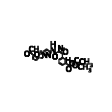 CC(=O)c1ccc(Cn2ccc(NC(=O)c3ncoc3-c3cccc(C(=O)OOC(C)(C)C)c3)n2)o1